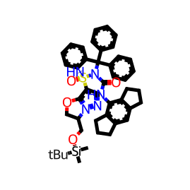 CC(C)(C)[Si](C)(C)OCC1COc2c(S(=N)(=O)N(C(=O)Nc3c4c(cc5c3CCC5)CCC4)C(c3ccccc3)(c3ccccc3)c3ccccc3)cnn21